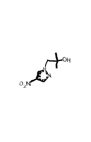 CC(C)(O)Cn1cc([N+](=O)[O-])cn1